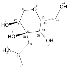 CC(N)C[C@]1(O)[C@@H](O)CO[C@H](CO)[C@@H]1O